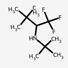 CC(C)(C)NC(C(C)(C)C)C(F)(F)F